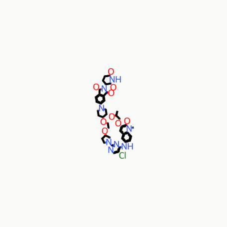 CC(=O)COc1cc2cc(Nc3nc(N4CCC(OCCOC5CCN(c6ccc7c(c6)C(=O)N(C6CCC(=O)NC6=O)C7=O)CC5)C4)ncc3Cl)ccc2n(C)c1=O